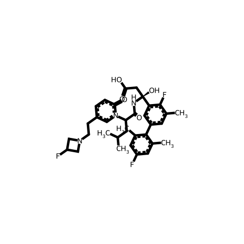 Cc1cc(-c2c(C)cc(F)cc2C)cc([C@@](O)(CC(=O)O)NC(=O)C(CC(C)C)n2cc(CCN3CC(F)C3)ccc2=O)c1F